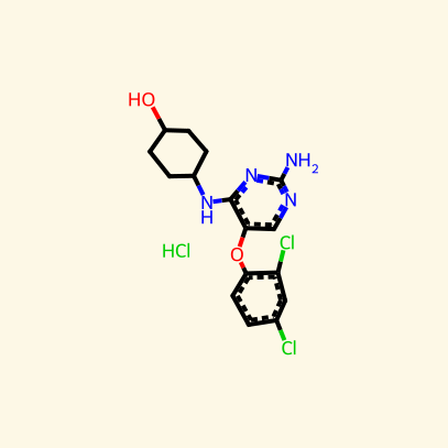 Cl.Nc1ncc(Oc2ccc(Cl)cc2Cl)c(NC2CCC(O)CC2)n1